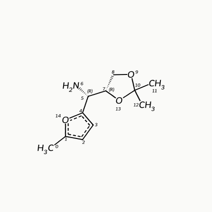 Cc1ccc([C@H](N)[C@@H]2COC(C)(C)O2)o1